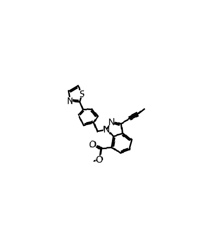 CC#Cc1nn(Cc2ccc(-c3nccs3)cc2)c2c(C(=O)OC)cccc12